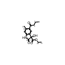 CCCC(=O)c1cc2c(cc1C)NC(=O)C2(O)C(=O)OCC